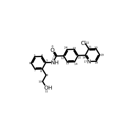 O=C(Nc1ccccc1CCO)c1ccc(-c2ncccc2Cl)cc1